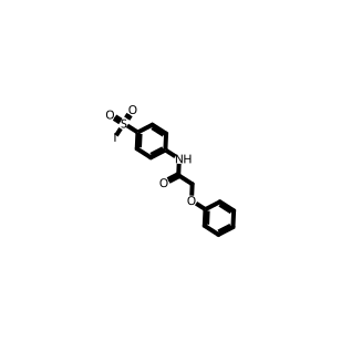 O=C(COc1ccccc1)Nc1ccc(S(=O)(=O)I)cc1